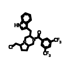 O=C(c1cc(C(F)(F)F)cc(C(F)(F)F)c1)N1CC2CCC(CCl)N2CC1Cc1c[nH]c2ccccc12